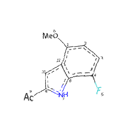 COc1ccc(F)c2[nH]c(C(C)=O)cc12